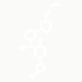 COCCOc1ccnc(-c2cccc(C(C)c3nn(-c4cnn(C)c4)ccc3=O)c2)n1